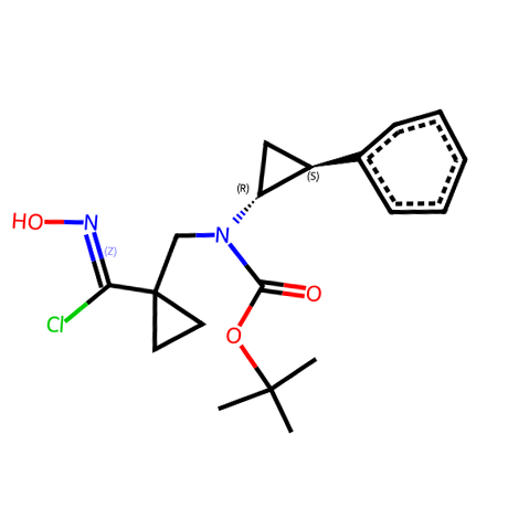 CC(C)(C)OC(=O)N(CC1(/C(Cl)=N/O)CC1)[C@@H]1C[C@H]1c1ccccc1